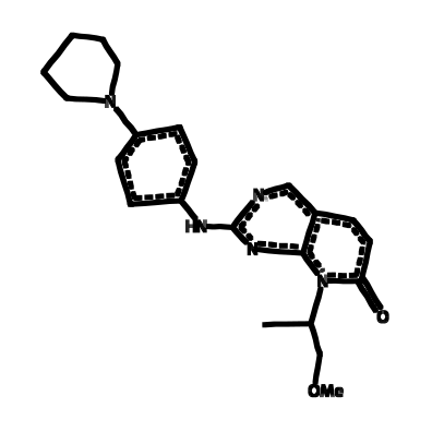 COCC(C)n1c(=O)ccc2cnc(Nc3ccc(N4CCCCC4)cc3)nc21